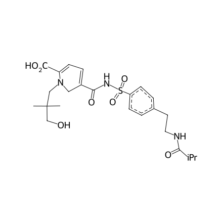 CC(C)C(=O)NCCc1ccc(S(=O)(=O)NC(=O)C2=CC=C(C(=O)O)N(CC(C)(C)CO)C2)cc1